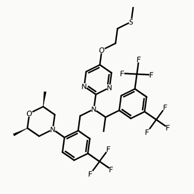 CSCCOc1cnc(N(Cc2cc(C(F)(F)F)ccc2N2C[C@@H](C)O[C@@H](C)C2)C(C)c2cc(C(F)(F)F)cc(C(F)(F)F)c2)nc1